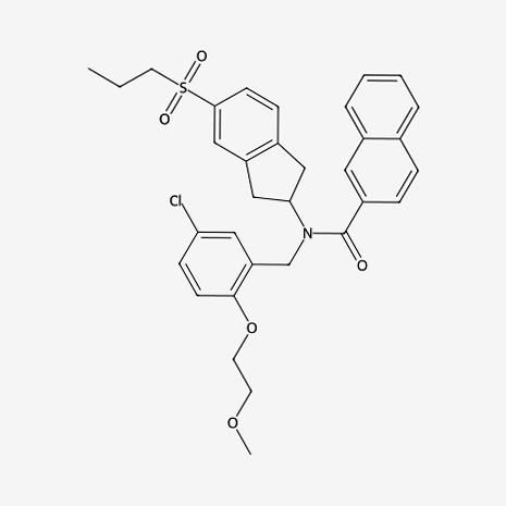 CCCS(=O)(=O)c1ccc2c(c1)CC(N(Cc1cc(Cl)ccc1OCCOC)C(=O)c1ccc3ccccc3c1)C2